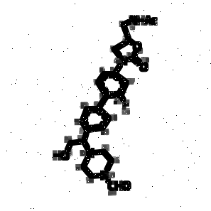 CC(=O)NCC1CN(c2ccc(-c3ccc(C(CO)N4CCN(C=O)CC4)cc3)c(F)c2)C(=O)O1